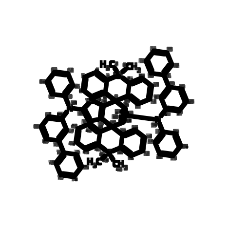 C[Si]1(C)c2ccccc2C2(c3ccccc31)c1cc(N(c3ccccc3)c3cccc(-c4ccccc4)c3)sc1C1(c3ccccc3[Si](C)(C)c3ccccc31)c1cc(N(c3ccccc3)c3cccc(-c4ccccc4)c3)sc12